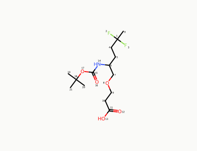 CC(F)(F)CCC(COCCC(=O)O)NC(=O)OC(C)(C)C